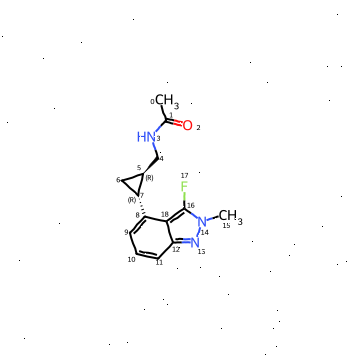 CC(=O)NC[C@@H]1C[C@H]1c1cccc2nn(C)c(F)c12